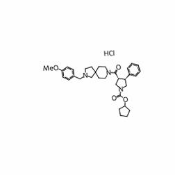 COc1ccc(CN2CCC3(CCN(C(=O)[C@@H]4CN(C(=O)OC5CCCC5)C[C@@H]4c4ccccc4)CC3)C2)cc1.Cl